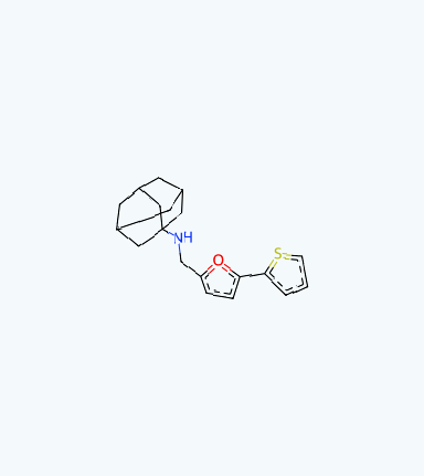 c1csc(-c2ccc(CNC34CC5CC(CC(C5)C3)C4)o2)c1